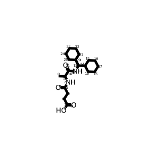 CC(NC(=O)CCC(=O)O)C(=O)NC(C1CCCCC1)C1CCCCC1